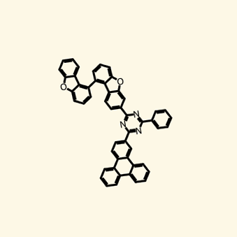 c1ccc(-c2nc(-c3ccc4c(c3)oc3cccc(-c5cccc6oc7ccccc7c56)c34)nc(-c3ccc4c5ccccc5c5ccccc5c4c3)n2)cc1